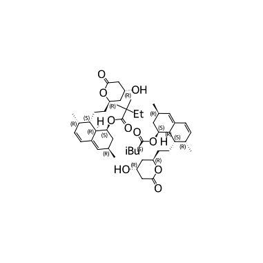 CCC(C)(C)C(=O)O[C@H]1C[C@@H](C)C=C2C=C[C@H](C)[C@H](CC[C@@H]3C[C@@H](O)CC(=O)O3)[C@H]21.CC[C@H](C)C(=O)O[C@H]1C[C@@H](C)C=C2C=C[C@H](C)[C@H](CC[C@@H]3C[C@@H](O)CC(=O)O3)[C@H]21